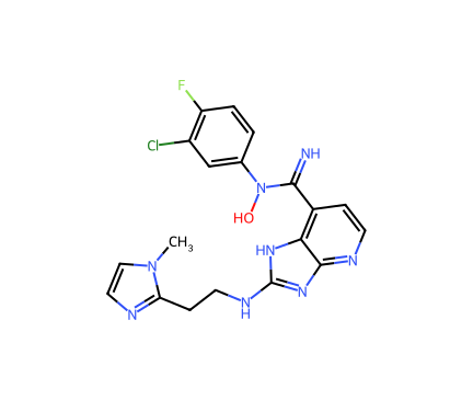 Cn1ccnc1CCNc1nc2nccc(C(=N)N(O)c3ccc(F)c(Cl)c3)c2[nH]1